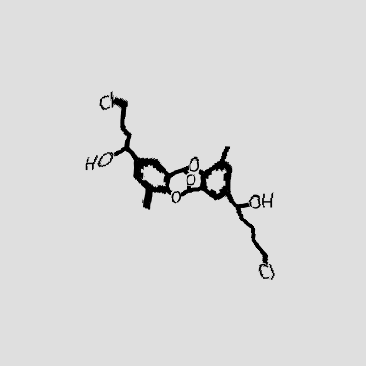 Cc1cc(C(O)CCCCl)cc2c1OC1OC2Oc2c(C)cc(C(O)CCCCCl)cc21